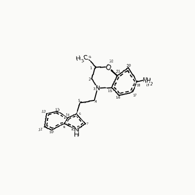 CC1CN(CCc2c[nH]c3ccccc23)c2ccc(N)cc2O1